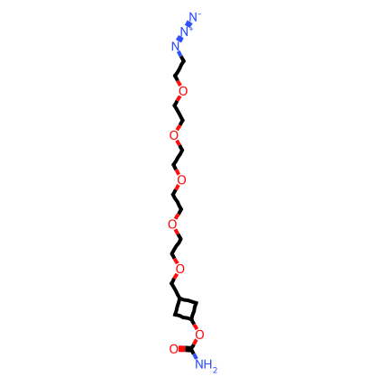 [N-]=[N+]=NCCOCCOCCOCCOCCOCC1CC(OC(N)=O)C1